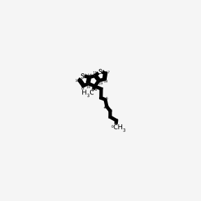 CCCCCCCCC1(C)c2ccsc2-c2sccc21